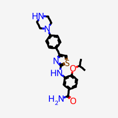 CC(C)Oc1ccc(C(N)=O)cc1Nc1nc(-c2ccc(N3CCNCC3)cc2)cs1